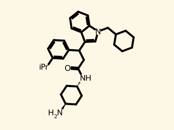 CC(C)c1cccc(C(CC(=O)N[C@H]2CC[C@H](N)CC2)c2cn(CC3CCCCC3)c3ccccc23)c1